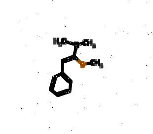 CSC(=Cc1ccccc1)B(C)C